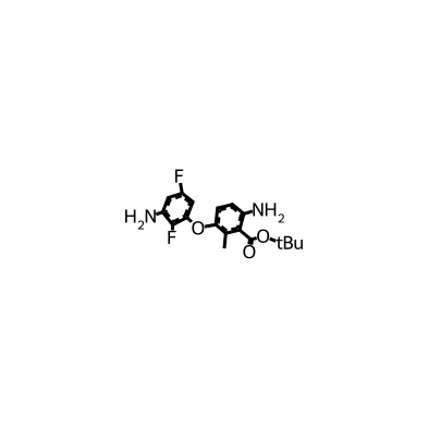 Cc1c(Oc2cc(F)cc(N)c2F)ccc(N)c1C(=O)OC(C)(C)C